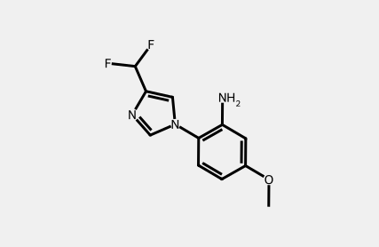 COc1ccc(-n2cnc(C(F)F)c2)c(N)c1